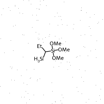 CCC([SiH3])[Si](OC)(OC)OC